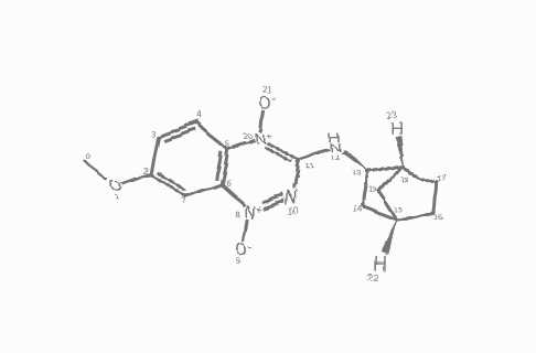 COc1ccc2c(c1)[n+]([O-])nc(N[C@@H]1C[C@H]3CC[C@@H]1C3)[n+]2[O-]